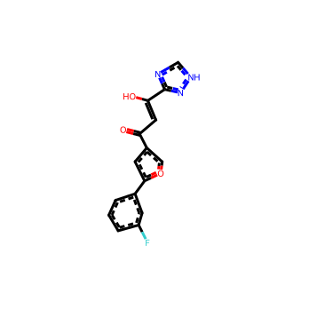 O=C(C=C(O)c1nc[nH]n1)c1coc(-c2cccc(F)c2)c1